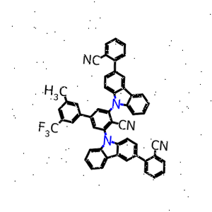 Cc1cc(-c2cc(-n3c4ccccc4c4cc(-c5ccccc5C#N)ccc43)c(C#N)c(-n3c4ccccc4c4cc(-c5ccccc5C#N)ccc43)c2)cc(C(F)(F)F)c1